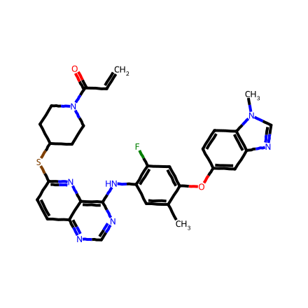 C=CC(=O)N1CCC(Sc2ccc3ncnc(Nc4cc(C)c(Oc5ccc6c(c5)ncn6C)cc4F)c3n2)CC1